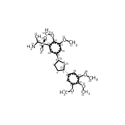 COc1cc([C@@H]2CC[C@@H](c3cc(OC)c(OC)c(S(=O)(=O)C(C)N)c3)S2)cc(OC)c1OC